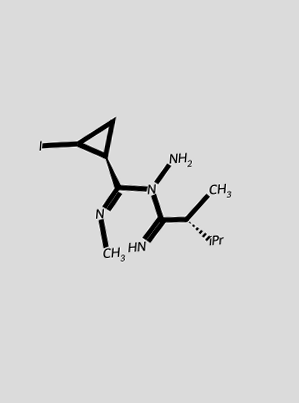 C/N=C(/[C@@H]1CC1I)N(N)C(=N)[C@H](C)C(C)C